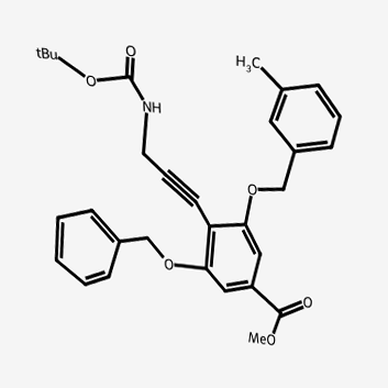 COC(=O)c1cc(OCc2ccccc2)c(C#CCNC(=O)OC(C)(C)C)c(OCc2cccc(C)c2)c1